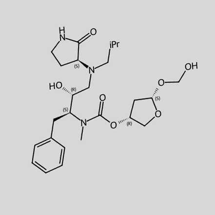 CC(C)CN(C[C@@H](O)[C@H](Cc1ccccc1)N(C)C(=O)O[C@H]1CO[C@@H](OCO)C1)[C@H]1CCNC1=O